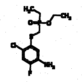 CCOP(=O)(CC)CSc1cc(N)c(F)cc1Cl